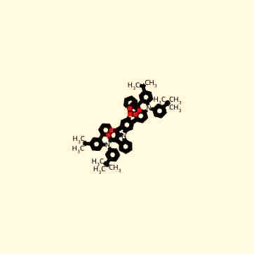 CC(C)c1ccc(N(c2cccc(C(C)(C)C)c2)c2ccc3c4cc5c(cc4n4c6ccccc6c2c34)c2ccc(N(c3cccc(C(C)(C)C)c3)c3ccc(C(C)C)cc3-c3ccccc3)c3c4ccccc4n5c23)c(-c2ccccc2)c1